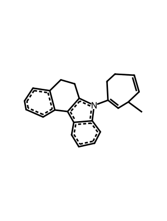 CC1C=CCCC(n2c3c(c4ccccc42)-c2ccccc2CC3)=C1